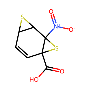 O=C(O)C12C=CC3SC3C1([N+](=O)[O-])S2